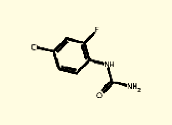 NC(=O)Nc1ccc(Cl)cc1F